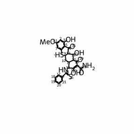 COc1cc(O)c2c(c1)[SH]C1CC3C(NC(=S)c4ccccc4)C(O)=C(C(N)=O)C(=O)C3C(O)C1C2=O